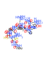 CCCC[C@@H]1NC[C@H](C(=O)N[C@@H](CS)C(=O)CCN[C@@H](CS)C(=O)C(=O)C(CO)NC(=O)[C@@H](NC(=O)C(CCCNC(=N)N)NC(=O)[C@H](CC(=O)O)NC(=O)[C@@H](NC(=O)[C@H](CCCNC(=N)N)NC(=O)CNC(=O)CNC(=O)C(Cc2ccccc2)NNC(Cc2cnc[nH]2)C(=O)N[C@@H](Cc2ccc(O)cc2)C(=O)N2C[C@H](C(N)=O)NC(=O)[C@H]2CCCNC(=N)N)[C@@H](C)CC)[C@@H](C)CC)NC1=O